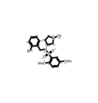 COc1ccc(OC)c(S(=O)(=O)N(Cc2ccccc2Br)[C@@H]2CCN(C#N)C2)c1